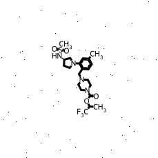 Cc1ccc(CN2CCN(C(=O)OC(C)C(F)(F)F)CC2)c(N2CC[C@H](NS(C)(=O)=O)C2)c1